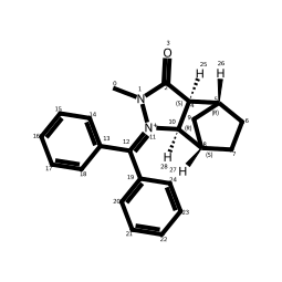 CN1C(=O)[C@H]2[C@@H]3CC[C@@H](C3)[C@H]2[N+]1=C(c1ccccc1)c1ccccc1